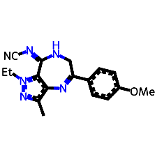 CCn1nc(C)c2c1/C(=N\C#N)NCC(c1ccc(OC)cc1)=N2